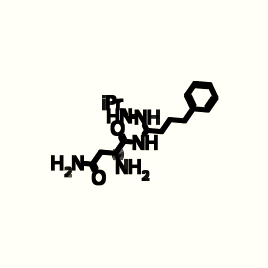 CC(C)NNC(CCCc1ccccc1)NC(=O)[C@@H](N)CC(N)=O